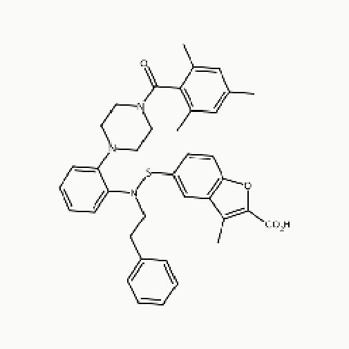 Cc1cc(C)c(C(=O)N2CCN(c3ccccc3N(CCc3ccccc3)Sc3ccc4oc(C(=O)O)c(C)c4c3)CC2)c(C)c1